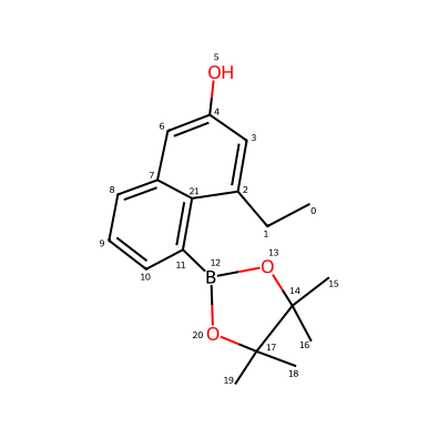 CCc1cc(O)cc2cccc(B3OC(C)(C)C(C)(C)O3)c12